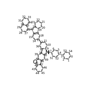 c1ccc(-c2ccc(-n3c4ccc(-c5ccc6c(c5)-c5ccccc5C6c5cccc6ccccc56)cc4c4cc5oc6ccccc6c5cc43)cc2)cc1